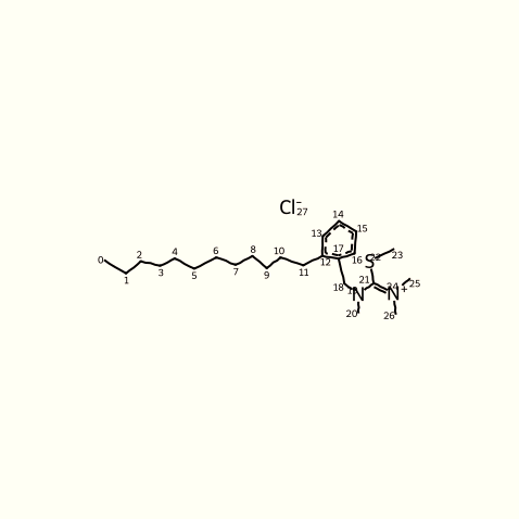 CCCCCCCCCCCCc1ccccc1CN(C)C(SC)=[N+](C)C.[Cl-]